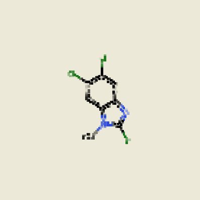 CCCCn1c(Cl)nc2cc(Cl)c(Cl)cc21